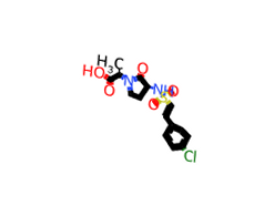 C[C@@H](C(=O)O)N1CC[C@H](NS(=O)(=O)/C=C/c2ccc(Cl)cc2)C1=O